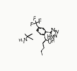 CC(C)(C)N.CCCCC(O)c1ccc(C(F)(F)F)cc1-c1nnn[nH]1